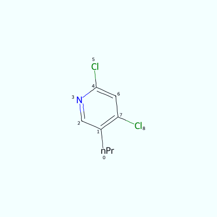 CCCc1cnc(Cl)cc1Cl